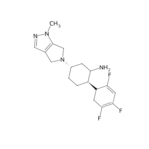 Cn1ncc2c1CN([C@H]1CC[C@H](C3CC(F)=C(F)C=C3F)C(N)C1)C2